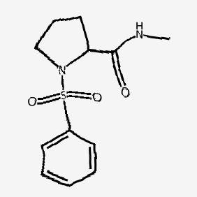 CNC(=O)C1CCCN1S(=O)(=O)c1ccccc1